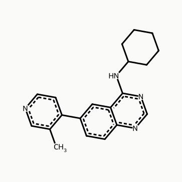 Cc1cnccc1-c1ccc2ncnc(NC3CCCCC3)c2c1